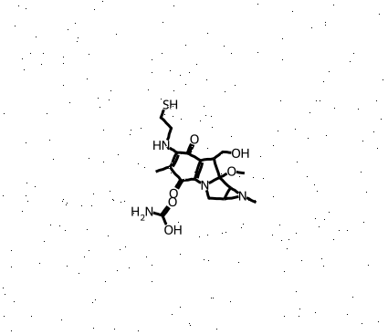 COC12C(CO)C3=C(C(=O)C(C)=C(NCCS)C3=O)N1CC1C2N1C.NC(=O)O